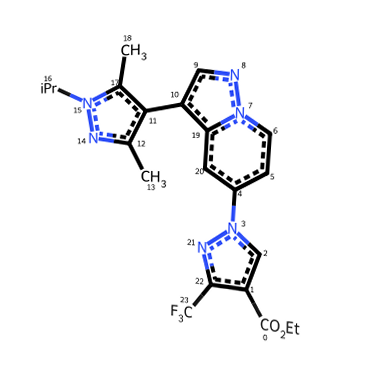 CCOC(=O)c1cn(-c2ccn3ncc(-c4c(C)nn(C(C)C)c4C)c3c2)nc1C(F)(F)F